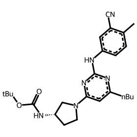 CCCCc1cc(N2CC[C@H](NC(=O)OC(C)(C)C)C2)nc(Nc2ccc(C)c(C#N)c2)n1